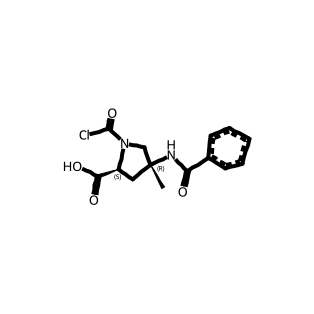 C[C@@]1(NC(=O)c2ccccc2)C[C@@H](C(=O)O)N(C(=O)Cl)C1